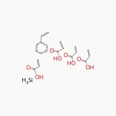 C=CC(=O)O.C=CC(=O)O.C=CC(=O)O.C=CC(=O)O.C=Cc1ccccc1.[SiH4]